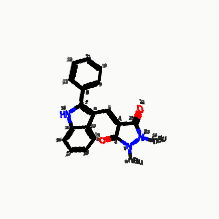 CCCCN1C(=O)C(=Cc2c(-c3ccccc3)[nH]c3ccccc23)C(=O)N1CCCC